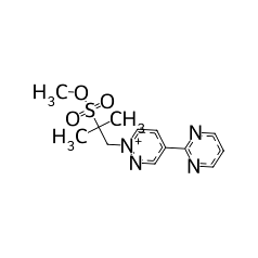 COS(=O)(=O)C(C)(C)C[n+]1ccc(-c2ncccn2)cn1